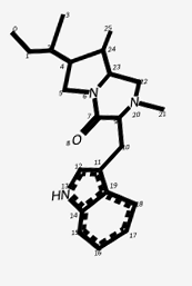 CCC(C)C1CN2C(=O)C(Cc3c[nH]c4ccccc34)N(C)CC2C1C